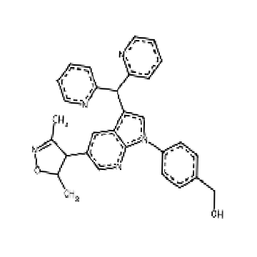 CC1=NOC(C)C1c1cnc2c(c1)c(C(c1ccccn1)c1ccccn1)cn2-c1ccc(CO)cc1